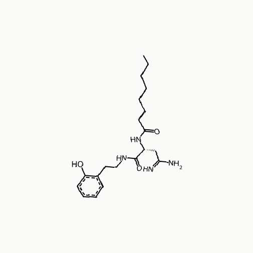 CCCCCCCC(=O)N[C@H](CC(=N)N)C(=O)NCCc1ccccc1O